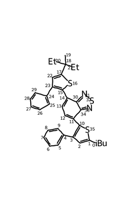 CCC(C)c1cc(-c2ccccc2)c(-c2ccc(-c3sc(C(C)(CC)CC)cc3-c3ccccc3)c3nsnc23)s1